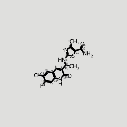 Cc1nc(N[C@@H](C)c2cc3cc(Cl)c(F)cc3[nH]c2=O)sc1C(N)=O